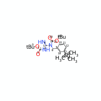 CC(C)(C)OC(=O)NC(=N)N(Cc1ccc[c]([Sn]([CH3])([CH3])[CH3])c1)C(=O)OC(C)(C)C